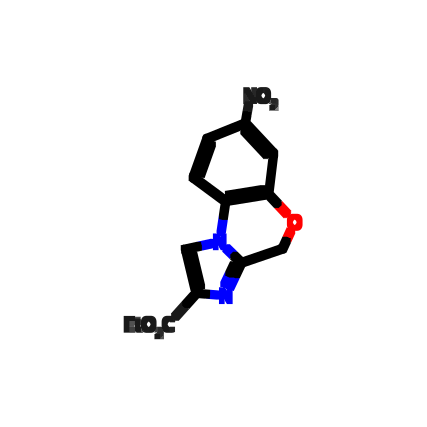 CCOC(=O)c1cn2c(n1)COc1cc([N+](=O)[O-])ccc1-2